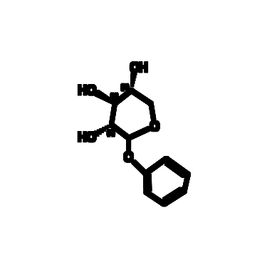 O[C@H]1[C@H](O)COC(Oc2ccccc2)[C@@H]1O